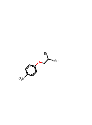 CCCCC(CC)COc1ccc([N+](=O)[O-])cc1